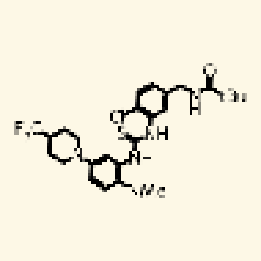 CNc1ccc(N2CCC(C(F)(F)F)CC2)cc1NC(=S)Nc1cc(CNC(=O)C(C)(C)C)ccc1Cl